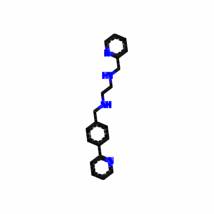 c1ccc(CNCCNCc2ccc(-c3ccccn3)cc2)nc1